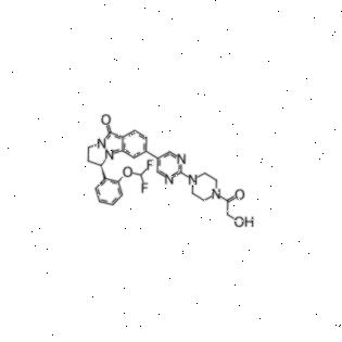 O=C(CO)N1CCN(c2ncc(-c3ccc4c(=O)n5n(c4c3)[C@@H](c3ccccc3OC(F)F)CC5)cn2)CC1